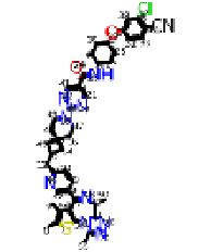 Cc1sc2c(c1C)C(c1ccc(CC3CC4(CCN(c5ncc(C(=O)N[C@H]6CC[C@H](Oc7ccc(C#N)c(Cl)c7)CC6)cn5)CC4)C3)nc1)=N[C@@H](C)c1nnc(C)n1-2